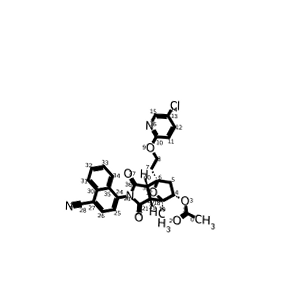 CC(=O)O[C@H]1C[C@@]2(CCOc3ccc(Cl)cn3)O[C@]1(C)[C@@H]1C(=O)N(c3ccc(C#N)c4ccccc34)C(=O)[C@@H]12